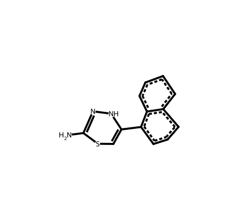 NC1=NNC(c2cccc3ccccc23)=CS1